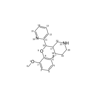 COc1cccc(F)c1OC(c1ccccn1)C1CCCNC1